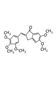 COc1cc2c(cc1OC)C(=O)/C(=C/c1cc(OC)c(OC)c(OC)c1)C2